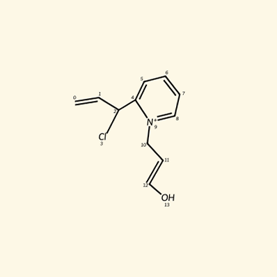 C=CC(Cl)c1cccc[n+]1CC=CO